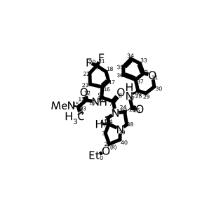 CCO[C@@H]1C[C@@H]2CN(C(=O)[C@@H](NC(=O)[C@H](C)NC)C3=CCC(F)(F)CC3)[C@H](C(=O)N[C@@H]3CCOc4ccccc43)CN2C1